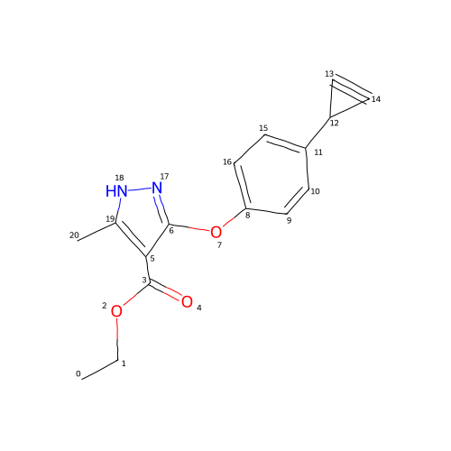 CCOC(=O)c1c(Oc2ccc(C3C#C3)cc2)n[nH]c1C